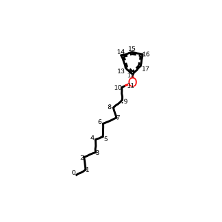 CCCCCCCCC[CH]COc1ccccc1